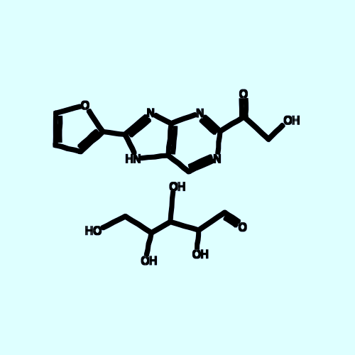 O=C(CO)c1ncc2[nH]c(-c3ccco3)nc2n1.O=CC(O)C(O)C(O)CO